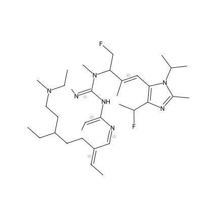 C\C=C(/C=N\C(=C/C)N/C(=N/C)N(C)C(CF)/C(C)=C/c1c(C(C)F)nc(C)n1C(C)C)CCC(CC)CCN(C)CC